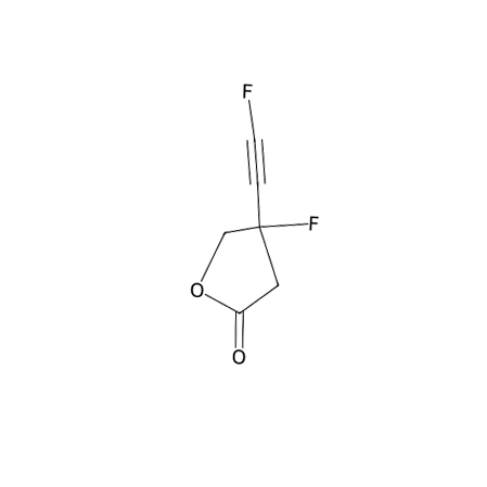 O=C1CC(F)(C#CF)CO1